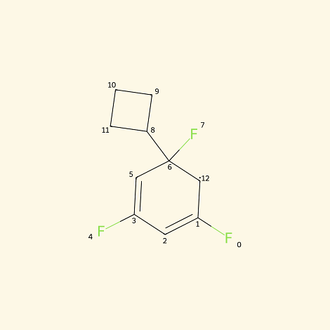 FC1=CC(F)=CC(F)(C2CCC2)[CH]1